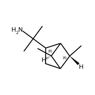 C[C@@H]1C2CC(C(C)(C)N)C1[C@@H]2C